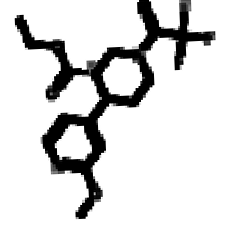 CCOC(=O)[C@@H]1CN(C(=O)C(F)(F)F)CCC1c1ccnc(OC)c1